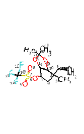 C=CC1(C)CC(OS(=O)(=O)C(F)(F)F)C2OC(C)(C)OC21